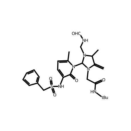 C=C1C(C)N(CNC=O)C(n2c(C)ccc(NS(=O)(=O)Cc3ccccc3)c2=O)N1CC(=O)NC(C)(C)C